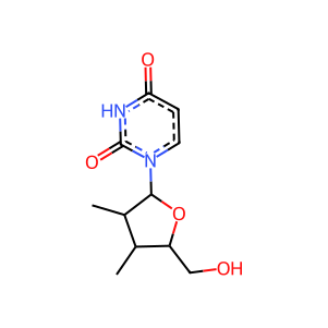 CC1C(CO)OC(n2ccc(=O)[nH]c2=O)C1C